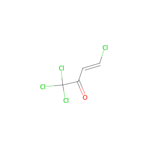 O=C(C=CCl)C(Cl)(Cl)Cl